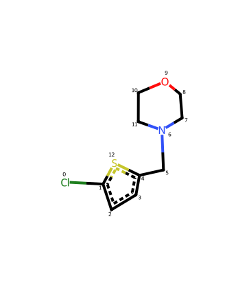 Clc1ccc(CN2CCOCC2)s1